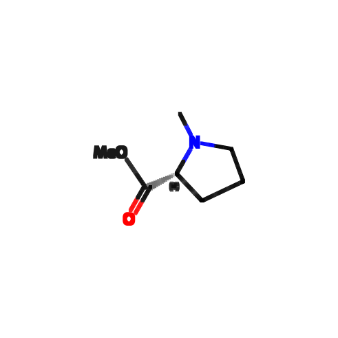 COC(=O)[C@H]1CCCN1C